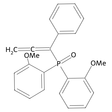 C=C=C(c1ccccc1)P(=O)(c1ccccc1OC)c1ccccc1OC